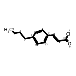 CCCCc1ccc(/C=C/C(=O)Cl)cc1